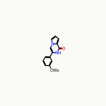 COc1cccc(-c2cn3cccc3c(=O)[nH]2)c1